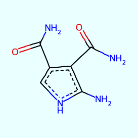 NC(=O)c1c[nH]c(N)c1C(N)=O